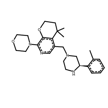 Cc1ccccc1[C@@H]1CN(Cc2cnc(N3CCOCC3)c3c2C(C)(C)CCO3)CCN1